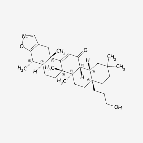 C[C@@H]1c2oncc2C[C@]2(C)C3=CC(=O)[C@@H]4[C@@H]5CC(C)(C)CC[C@]5(CCCO)CC[C@@]4(C)[C@]3(C)CC[C@@H]12